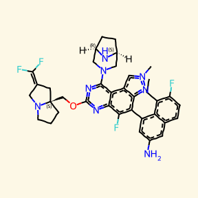 CCc1c(F)ccc2cc(N)cc(-c3c(F)c4nc(OC[C@@]56CCCN5CC(=C(F)F)C6)nc(N5C[C@H]6CC[C@@H](C5)N6)c4c4cn(C)nc34)c12